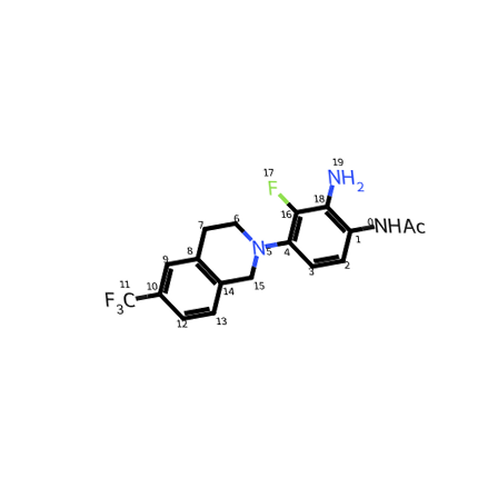 CC(=O)Nc1ccc(N2CCc3cc(C(F)(F)F)ccc3C2)c(F)c1N